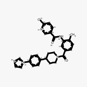 Cc1ccc(C(=O)N2CCC(c3ccc(-n4ccnc4)cc3)CC2)cc1NC(=O)c1ccc(Cl)nc1